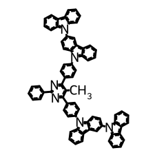 Cc1c(-c2ccc(-n3c4ccccc4c4cc(-n5c6ccccc6c6ccccc65)ccc43)cc2)nc(-c2ccccc2)nc1-c1ccc(-n2c3ccccc3c3cc(-n4c5ccccc5c5ccccc54)ccc32)cc1